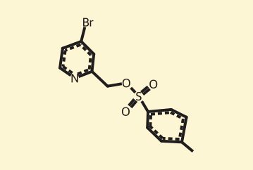 Cc1ccc(S(=O)(=O)OCc2cc(Br)ccn2)cc1